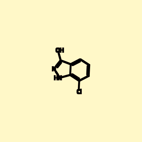 Oc1n[nH]c2c(Cl)cccc12